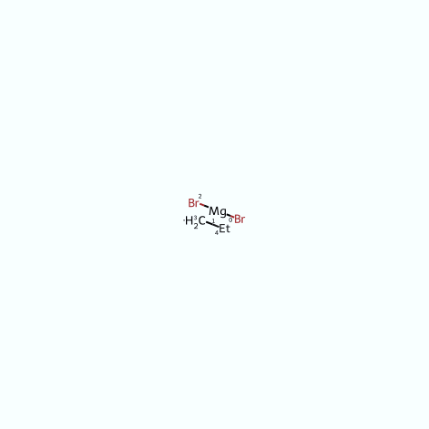 [Br][Mg][Br].[CH2]C[CH2]